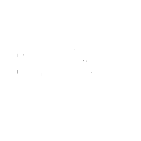 CC(C)(C)c1cccc2c1CCC[C@]2(O)O[SiH](c1ccccc1)c1ccccc1